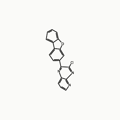 Clc1nc2ncccc2nc1-c1ccc2c(c1)oc1ccccc12